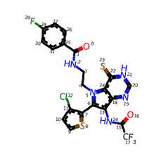 O=C(NCCn1c(-c2sccc2Cl)c(NC(=O)C(F)(F)F)c2nc[nH]c(=S)c21)c1ccc(F)cc1